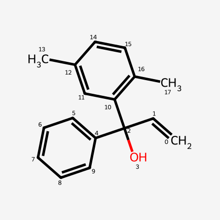 C=CC(O)(c1ccccc1)c1cc(C)ccc1C